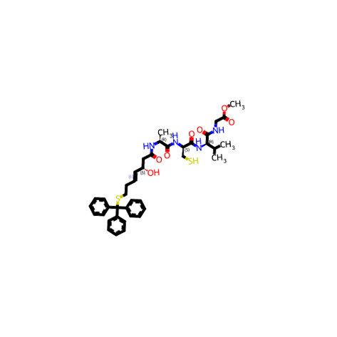 COC(=O)CNC(=O)[C@H](NC(=O)[C@@H](CS)NC(=O)[C@@H](C)NC(=O)C[C@H](O)/C=C/CCSC(c1ccccc1)(c1ccccc1)c1ccccc1)C(C)C